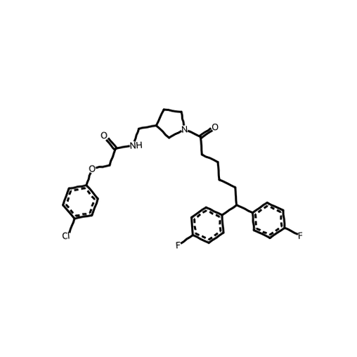 O=C(COc1ccc(Cl)cc1)NCC1CCN(C(=O)CCCCC(c2ccc(F)cc2)c2ccc(F)cc2)C1